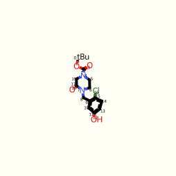 CC(C)(C)OC(=O)N1CCN(Cc2cc(O)ccc2Cl)C(=O)C1